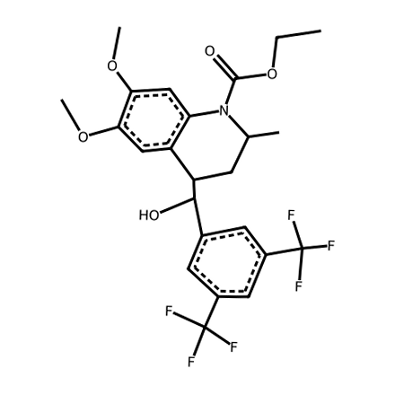 CCOC(=O)N1c2cc(OC)c(OC)cc2C(C(O)c2cc(C(F)(F)F)cc(C(F)(F)F)c2)CC1C